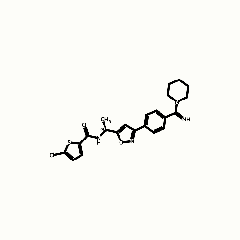 C[C@H](NC(=O)c1ccc(Cl)s1)c1cc(-c2ccc(C(=N)N3CCCCC3)cc2)no1